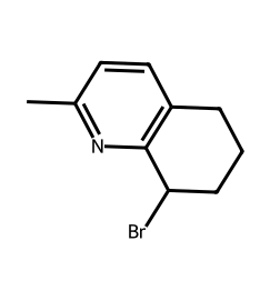 Cc1ccc2c(n1)C(Br)CCC2